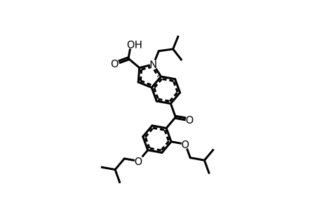 CC(C)COc1ccc(C(=O)c2ccc3c(c2)cc(C(=O)O)n3CC(C)C)c(OCC(C)C)c1